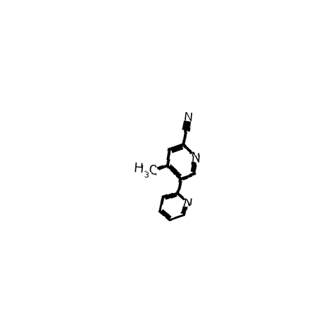 Cc1cc(C#N)ncc1-c1ccccn1